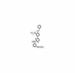 CC(=O)Nc1cccc(Nc2nccc(-c3ccc(OCc4ccccc4)c(N)c3)n2)c1